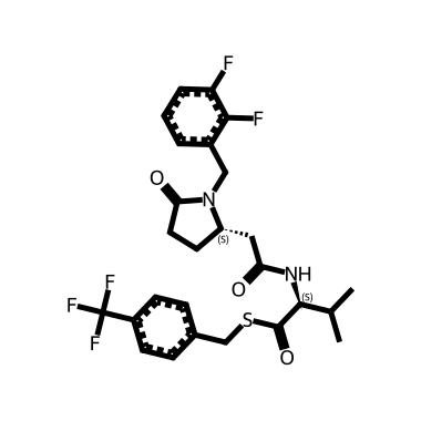 CC(C)[C@H](NC(=O)C[C@@H]1CCC(=O)N1Cc1cccc(F)c1F)C(=O)SCc1ccc(C(F)(F)F)cc1